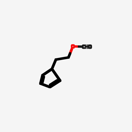 O=COCCC1C=CC=C1